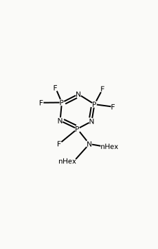 CCCCCCN(CCCCCC)P1(F)=NP(F)(F)=NP(F)(F)=N1